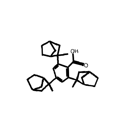 CC1(c2cc(C3(C)CC4CCC3C4)c(C(=O)O)c(C3(C)CC4CCC3C4)c2)CC2CCC1C2